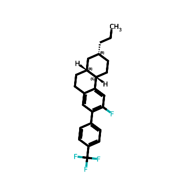 CCC[C@@H]1CC[C@@H]2c3cc(F)c(-c4ccc(C(F)(F)F)cc4)cc3CC[C@@H]2C1